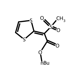 CCCCOC(=O)C(=C1SC=CS1)S(C)(=O)=O